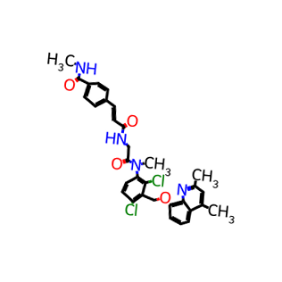 CNC(=O)c1ccc(/C=C/C(=O)NCC(=O)N(C)c2ccc(Cl)c(COc3cccc4c(C)cc(C)nc34)c2Cl)cc1